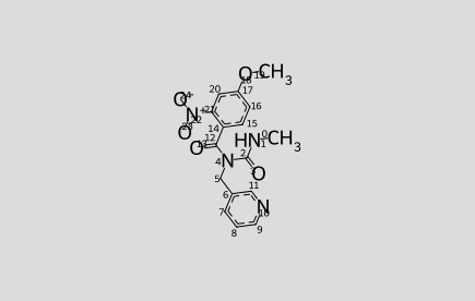 CNC(=O)N(Cc1cccnc1)C(=O)c1ccc(OC)cc1[N+](=O)[O-]